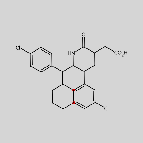 O=C(O)CC1CC(c2cccc(Cl)c2)C(C(c2ccc(Cl)cc2)C2CCCCC2)NC1=O